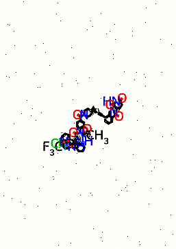 C[C@H]1CN(C(=O)[C@@H]2NC3(CCCCC3)[C@@]3(CNc4cc(C(F)(F)F)ncc43)[C@H]2c2cccc(Cl)c2F)c2ccc(C(=O)N3CCC4(CC3)C[C@@H]4C#Cc3cccc4c3CN([C@H]3CCC(=O)NC3=O)C4=O)cc2O1